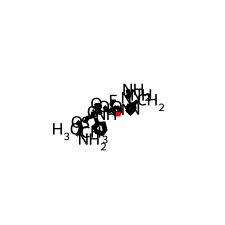 C=C1NC(N)=Nc2c1ncn2C1CC[C@@](CF)(COP(=O)(NCc2ccccc2)OCCSC(=O)C(C)(C)CN)O1